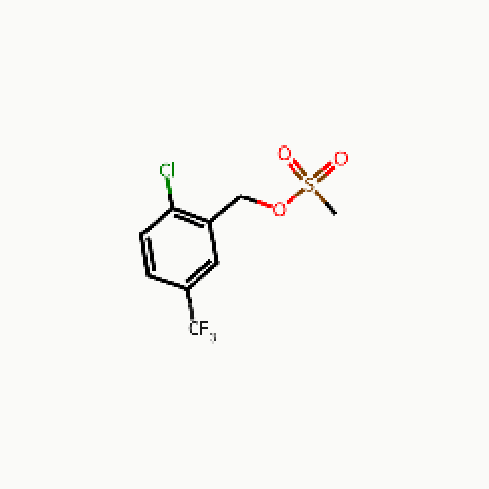 CS(=O)(=O)OCc1cc(C(F)(F)F)ccc1Cl